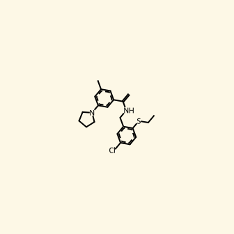 C=C(NCc1cc(Cl)ccc1SCC)c1cc(C)cc(N2CCCC2)c1